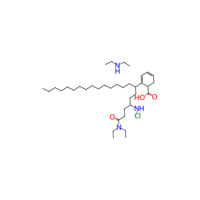 CCCCCCCCCCCCCCCC(CCC(CCC(=O)N(CC)CC)NCl)C1=CC=CCC1C(=O)O.CCNCC